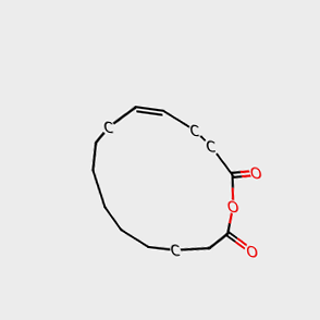 O=C1CC/C=C\CCCCCCCCC(=O)O1